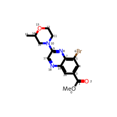 COC(=O)c1cc(Br)c2nc(N3CCOC(C)C3)cnc2c1